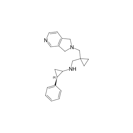 c1ccc([C@H]2CC2NCC2(CN3Cc4ccncc4C3)CC2)cc1